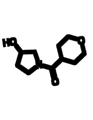 O=C(C1CCOCC1)N1CCC(O)C1